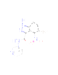 O=C(NC1CN2CCC1CC2)c1n[nH]c2ccc(Br)c([N+](=O)[O-])c12